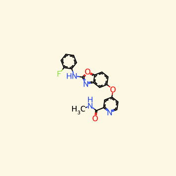 CNC(=O)c1cc(Oc2ccc3oc(Nc4ccccc4F)nc3c2)ccn1